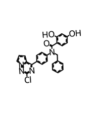 O=C(c1ccc(O)cc1O)N(Cc1ccccc1)c1ccc(-c2nc(Cl)nn3cccc23)cc1